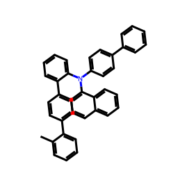 Cc1ccccc1-c1ccc(-c2ccccc2N(c2ccc(-c3ccccc3)cc2)c2cccc3ccccc23)cc1